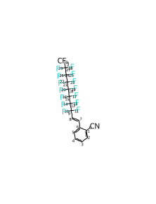 N#Cc1ccccc1C=CC(F)(F)C(F)(F)C(F)(F)C(F)(F)C(F)(F)C(F)(F)C(F)(F)C(F)(F)F